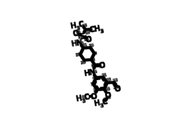 COc1cc(NC(=O)C2CCC(NS(=O)(=O)C(C)C)CC2)cc(C=O)c1OC